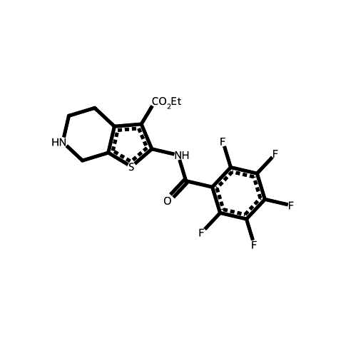 CCOC(=O)c1c(NC(=O)c2c(F)c(F)c(F)c(F)c2F)sc2c1CCNC2